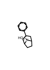 O=C(O)N1C2CCC1CC(c1ccccc1)C2